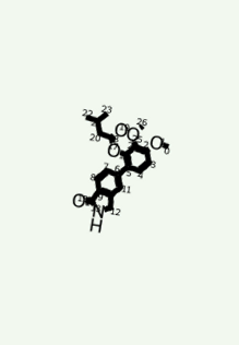 COc1ccc(-c2ccc3c(c2)CNC3=O)c(OC(=O)CC(C)C)c1OC